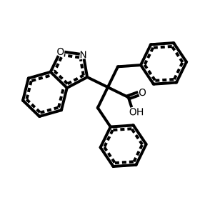 O=C(O)C(Cc1ccccc1)(Cc1ccccc1)c1noc2ccccc12